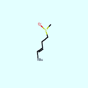 CCCCC=CCC[S+](C)[O-]